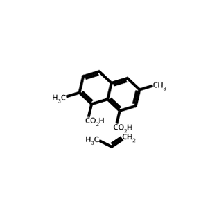 C=CC.Cc1cc(C(=O)O)c2c(C(=O)O)c(C)ccc2c1